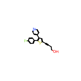 OCCC#Cc1cc(-c2ccncc2)c(-c2ccc(F)cc2)s1